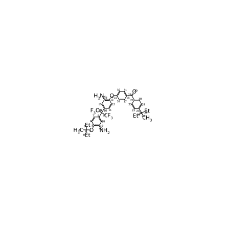 CCC(C)(CC)Oc1ccc(C(c2ccc(Oc3ccc(C(=O)c4ccc(C(C)(CC)CC)cc4)cc3)c(N)c2)(C(F)(F)F)C(F)(F)F)cc1N